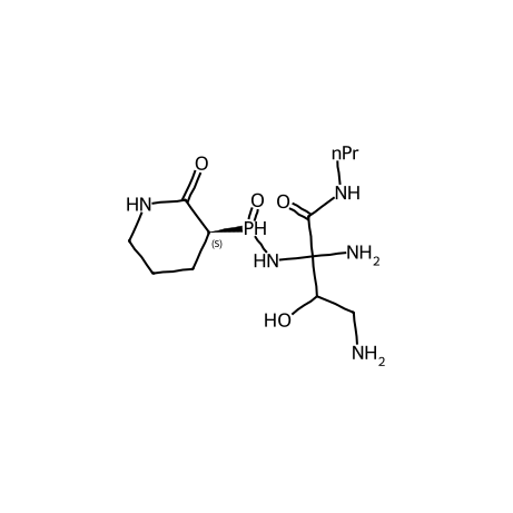 CCCNC(=O)C(N)(N[PH](=O)[C@H]1CCCNC1=O)C(O)CN